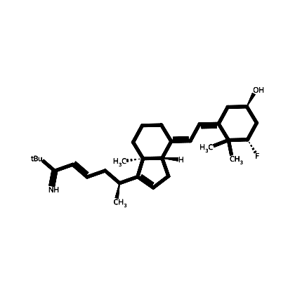 C[C@@H](C/C=C/C(=N)C(C)(C)C)C1=CC[C@H]2/C(=C/C=C3/C[C@@H](O)C[C@H](F)C3(C)C)CCC[C@]12C